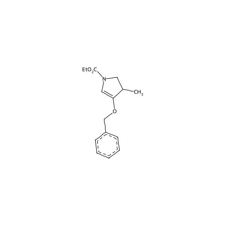 CCOC(=O)N1C=C(OCc2ccccc2)C(C)C1